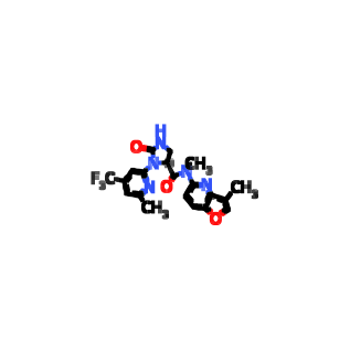 Cc1cc(C(F)(F)F)cc(N2C(=O)NC[C@H]2C(=O)N(C)c2ccc3occ(C)c3n2)n1